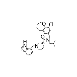 CC(C)CN(Cc1cc(Cl)c2c(c1)CCCCO2)C(=O)[C@@H]1CCCN(Cc2cccc3cc[nH]c23)C1